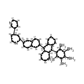 Bc1c(B)c(B)c(-c2c3ccccc3c(-c3ccc4cc(-c5cc(-c6cccnc6)ccn5)ccc4c3)c3ccccc23)c(B)c1B